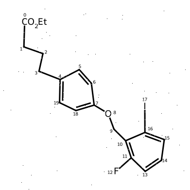 CCOC(=O)CCCc1ccc(OCc2c(F)cccc2I)cc1